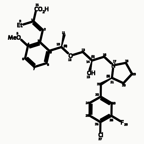 CCC(=Cc1c(OC)cccc1[C@@H](C)OC[C@H](O)CN1CCC[C@H]1Cc1ccc(Cl)c(F)c1)C(=O)O